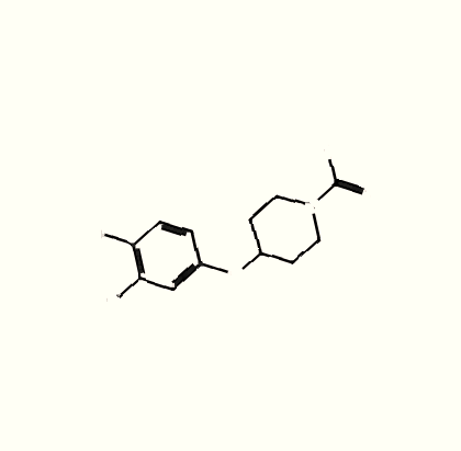 S=C(Cl)N1CCC(Oc2ccc(Cl)c(Cl)c2)CC1